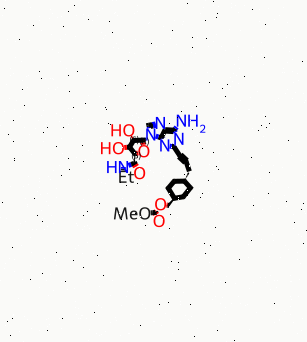 CCNC(=O)[C@H]1O[C@@H](n2cnc3c(N)nc(C#CC[C@H]4CC[C@H](COC(=O)OC)CC4)nc32)[C@@H](O)C1O